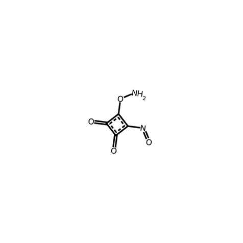 NOc1c(N=O)c(=O)c1=O